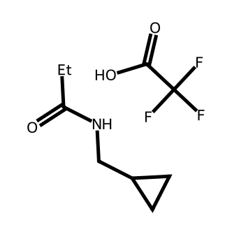 CCC(=O)NCC1CC1.O=C(O)C(F)(F)F